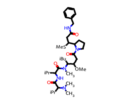 CCC(C)C(C(CC(=O)N1CCCC1C(CC(=O)NCc1ccccc1)SC)OC)N(C)C(=O)C(NC(=O)C(C(C)C)N(C)C)C(C)C